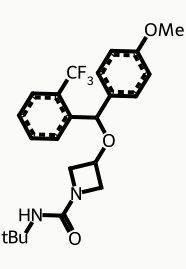 COc1ccc(C(OC2CN(C(=O)NC(C)(C)C)C2)c2ccccc2C(F)(F)F)cc1